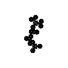 c1ccc(-c2nc(-c3ccccc3)nc(-c3ccc4c5c(cccc35)-c3c-4c4ccc(-c5ccc6c7c(c8ccccc8cc57)-c5cc(-c7nc(-n8c9ccccc9c9ccccc98)nc(-n8c9ccccc9c9ccccc98)n7)ccc5-6)cc4c4ccccc34)n2)cc1